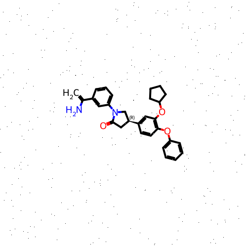 C=C(N)c1cccc(N2C[C@@H](c3ccc(Oc4ccccc4)c(OC4CCCC4)c3)CC2=O)c1